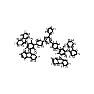 Cc1c(-c2ccc(-c3nc(-c4ccccc4)nc(-c4ccc(-c5c(C)c(-n6c7ccccc7c7ccccc76)c(C)c(-n6c7ccccc7c7ccccc76)c5C)cc4)n3)cc2)c(C)c(-n2c3ccccc3c3ccccc32)c(C)c1-n1c2ccccc2c2ccccc21